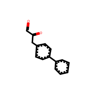 O=CC(=O)Cc1ccc(-c2ccccc2)cc1